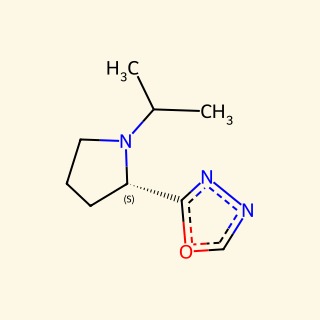 CC(C)N1CCC[C@H]1c1nnco1